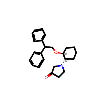 O=C1CCN([C@H]2CCCC[C@@H]2OCC(c2ccccc2)c2ccccc2)C1